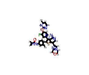 C=C(C)C(=O)Nc1ccc(-c2sc3c(-c4cn5c(n4)COCC5)cnc(N)c3c2-c2ccc(Oc3nccc(C)n3)c(F)c2)c(C)c1